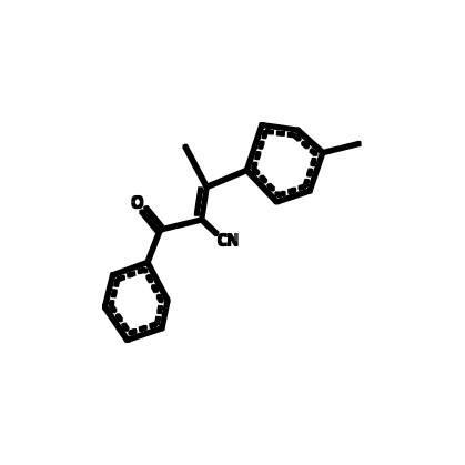 C/C(=C(/C#N)C(=O)c1ccccc1)c1ccc(C)cc1